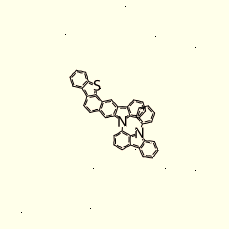 c1ccc(-n2c3ccccc3c3cccc(-n4c5ccccc5c5cc6c(ccc7c8ccccc8sc67)cc54)c32)cc1